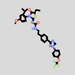 CCC1S/C(=N\C(=O)NCCc2ccc(-c3ncn(-c4ccc(OC(F)(F)F)cc4)n3)cc2)N(c2ccc(OC)cc2C(C)C)C1=O